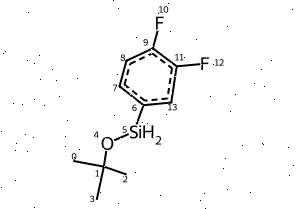 CC(C)(C)O[SiH2]c1ccc(F)c(F)c1